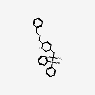 CC(C)(C[C@@H]1C=C[C@H](COCc2ccccc2)NC1)[Si](O)(c1ccccc1)c1ccccc1